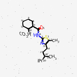 Cc1sc(NC(=O)C2CCCCC2C(=O)O)nc1CCC(C)C(C)C